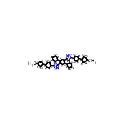 Cc1ccc(-c2ccc(-c3nnc4c5cc6c7ccccc7n7c(-c8ccc(-c9ccc(C)cc9)cc8)nnc7c6cc5c5ccccc5n34)cc2)cc1